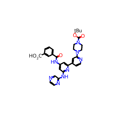 CC(C)(C)OC(=O)N1CCN(c2cc(-c3cc(NC(=O)c4cccc(C(=O)O)c4)cc(Nc4cnccn4)n3)ccn2)CC1